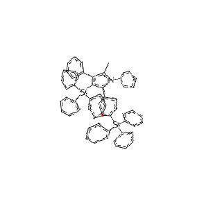 Cc1c(-c2ccccc2)c([Si](c2ccccc2)(c2ccccc2)c2ccccc2)c(-c2ccc([Si](c3ccccc3)(c3ccccc3)c3ccccc3)cc2)n1-c1ccccc1